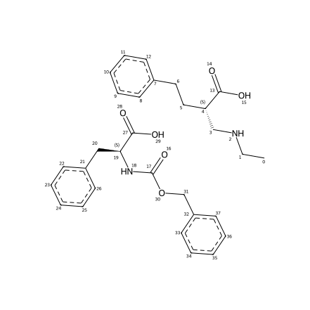 CCNC[C@H](CCc1ccccc1)C(=O)O.O=C(N[C@@H](Cc1ccccc1)C(=O)O)OCc1ccccc1